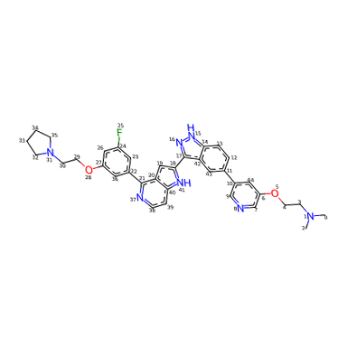 CN(C)CCOc1cncc(-c2ccc3[nH]nc(-c4cc5c(-c6cc(F)cc(OCCN7CCCC7)c6)nccc5[nH]4)c3c2)c1